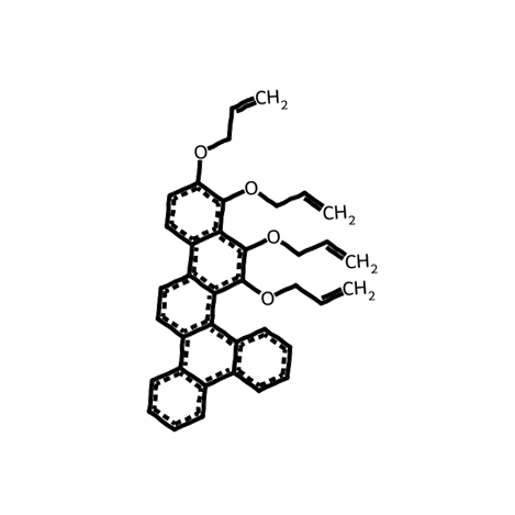 C=CCOc1ccc2c(c1OCC=C)c(OCC=C)c(OCC=C)c1c2ccc2c3ccccc3c3ccccc3c21